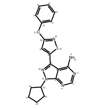 Nc1ncnc2c1c(-c1cc(Oc3ccccc3)ns1)nn2C1CCCC1